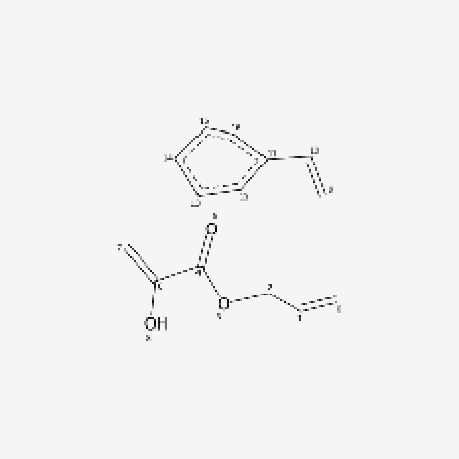 C=CCOC(=O)C(=C)O.C=Cc1ccccc1